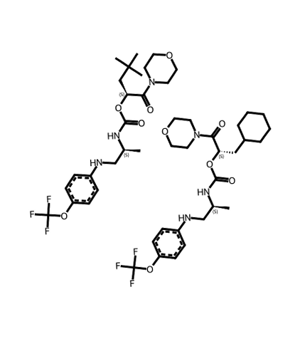 C[C@@H](CNc1ccc(OC(F)(F)F)cc1)NC(=O)O[C@@H](CC(C)(C)C)C(=O)N1CCOCC1.C[C@@H](CNc1ccc(OC(F)(F)F)cc1)NC(=O)O[C@@H](CC1CCCCC1)C(=O)N1CCOCC1